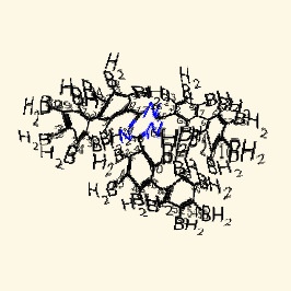 Bc1c(B)c(B)c(-c2c(B)c(B)c(B)c(-c3nc(-c4c(B)c(B)c(B)c(-c5c(B)c(B)c(B)c(B)c5B)c4B)nc(-c4c(B)c(B)c(B)c(-c5c(B)c(B)c(B)c(B)c5B)c4B)n3)c2B)c(B)c1B